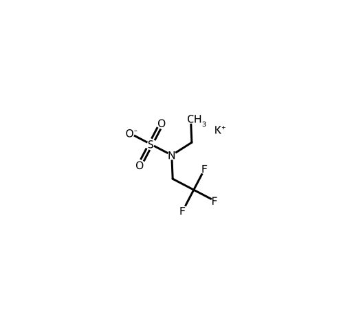 CCN(CC(F)(F)F)S(=O)(=O)[O-].[K+]